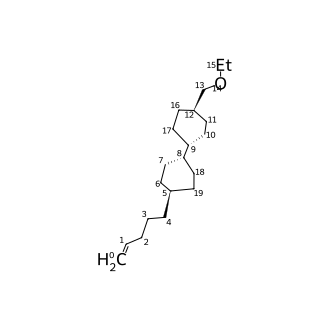 C=CCCC[C@H]1CC[C@H]([C@H]2CC[C@H](COCC)CC2)CC1